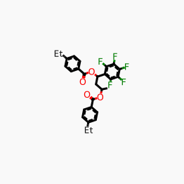 CCc1ccc(C(=O)OC(C)CC(OC(=O)c2ccc(CC)cc2)c2c(F)c(F)c(F)c(F)c2F)cc1